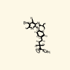 Cc1nc2c(nc(C(C)C)n2-c2ccc(CCC(C)(C)C(=O)O)cc2)c(C)c1Br